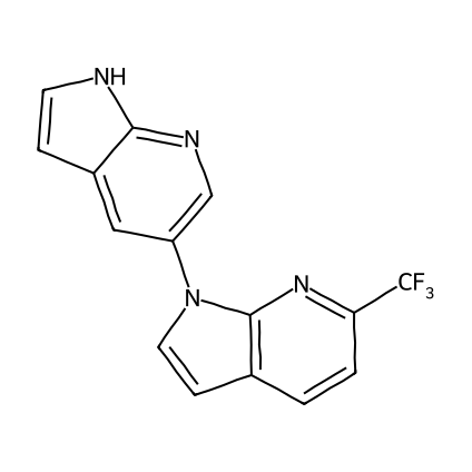 FC(F)(F)c1ccc2ccn(-c3cnc4[nH]ccc4c3)c2n1